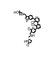 COc1nc(-c2cccc(-c3ccnc(-c4ccc5c(CNCC(C)(C)O)cn(C)c5c4)c3Cl)c2Cl)ccc1CNC[C@@H]1CCC(=O)N1